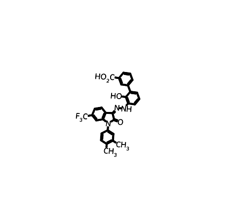 Cc1ccc(N2C(=O)C(=NNc3cccc(-c4cccc(C(=O)O)c4)c3O)c3ccc(C(F)(F)F)cc32)cc1C